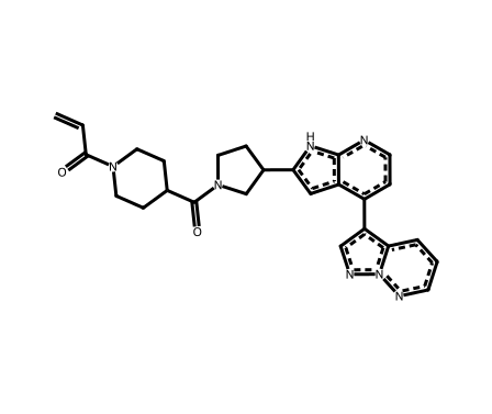 C=CC(=O)N1CCC(C(=O)N2CCC(c3cc4c(-c5cnn6ncccc56)ccnc4[nH]3)C2)CC1